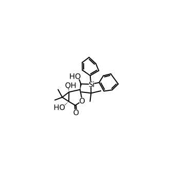 CC1(C)[C@]2(O)C(=O)O[C@H](C(O)[Si](c3ccccc3)(c3ccccc3)C(C)(C)C)[C@]12O